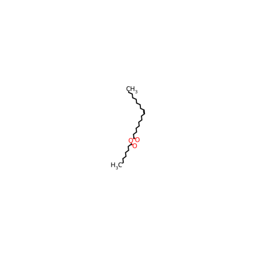 CCCCCCCC/C=C\CCCCCCCC(=O)OC(=O)CCCCCCC